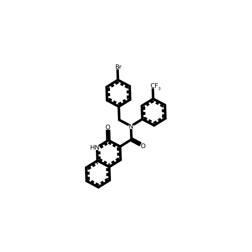 O=C(c1cc2ccccc2[nH]c1=O)N(Cc1ccc(Br)cc1)c1cccc(C(F)(F)F)c1